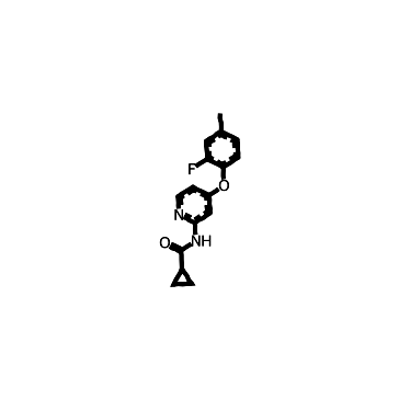 Cc1ccc(Oc2ccnc(NC(=O)C3CC3)c2)c(F)c1